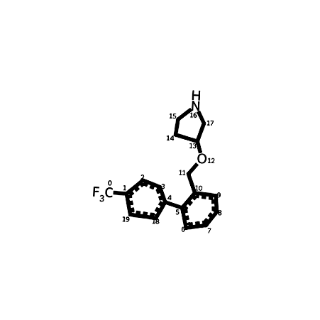 FC(F)(F)c1ccc(-c2ccccc2COC2CCNC2)cc1